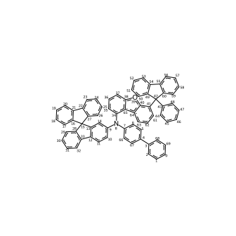 c1ccc(-c2ccc(N(c3ccc4c(c3)C3(c5ccccc5-c5ccccc53)c3ccccc3-4)c3cccc4oc5c(C6(c7ccccc7)c7ccccc7-c7ccccc76)cccc5c34)cc2)cc1